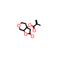 C=C(C)C(=O)OC12CCOCC1OC(=O)C2